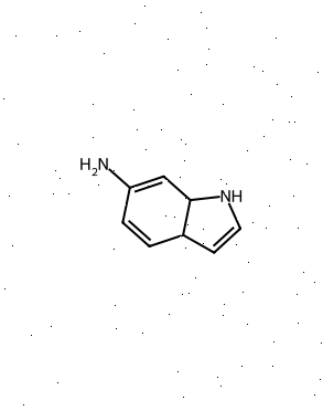 NC1=CC2NC=CC2C=C1